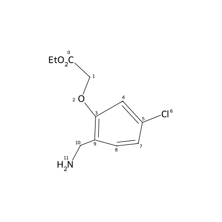 CCOC(=O)COc1cc(Cl)ccc1CN